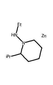 CCNN1CCCCC1C(C)C.[Zn]